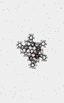 c1ccc2c(c1)[nH]c1c(-c3ccsc3-c3c(-c4sccc4-c4cccc5c4[nH]c4ccccc45)c(-c4sccc4-c4cccc5c4[nH]c4ccccc45)c(-c4sccc4-c4cccc5c4[nH]c4ccccc45)c(-c4sccc4-c4cccc5c4[nH]c4ccccc45)c3-c3sccc3-c3cccc4c3[nH]c3ccccc34)cccc12